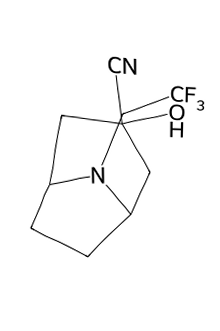 N#CC1(O)CC2CCC(C1)N2CC(F)(F)F